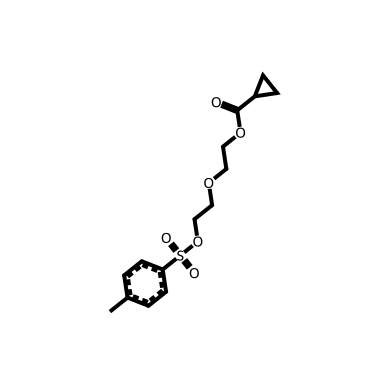 Cc1ccc(S(=O)(=O)OCCOCCOC(=O)C2CC2)cc1